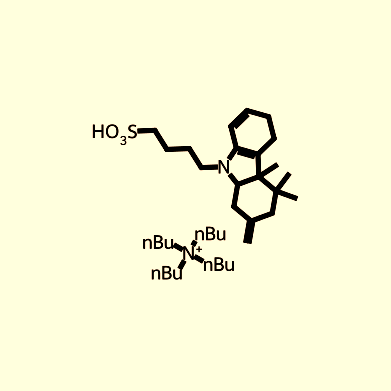 C=C1CC2N(CCCCS(=O)(=O)O)C3=C(CCC=C3)C2(C)C(C)(C)C1.CCCC[N+](CCCC)(CCCC)CCCC